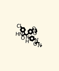 CN(C)CC(=O)N(C)c1ccc(N/C(=C2\C(=O)Nc3cc(Cl)ccc32)c2ccc3c(c2)OC=CO3)cc1